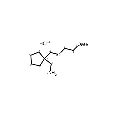 COCCOCC1(CN)CCCC1.Cl